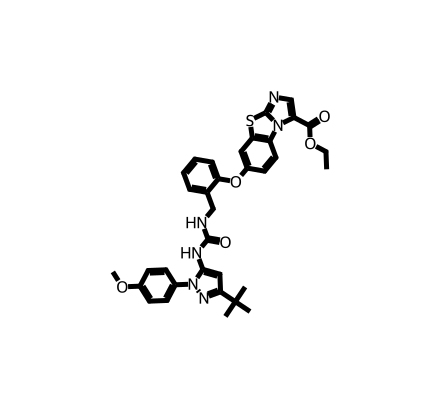 CCOC(=O)c1cnc2sc3cc(Oc4ccccc4CNC(=O)Nc4cc(C(C)(C)C)nn4-c4ccc(OC)cc4)ccc3n12